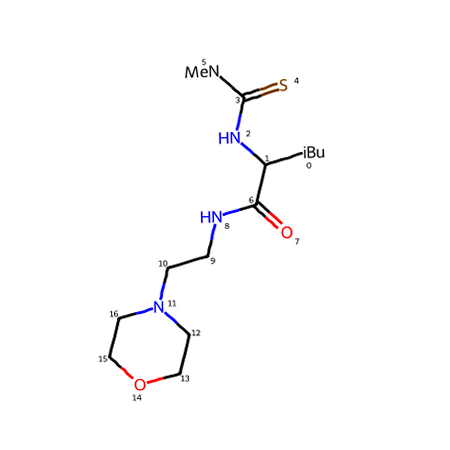 CCC(C)C(NC(=S)NC)C(=O)NCCN1CCOCC1